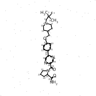 CC(C)(F)CN1CCC(COc2ccc(-c3cnc(C(=O)N4CCCC4C(N)=O)cn3)cc2)CC1